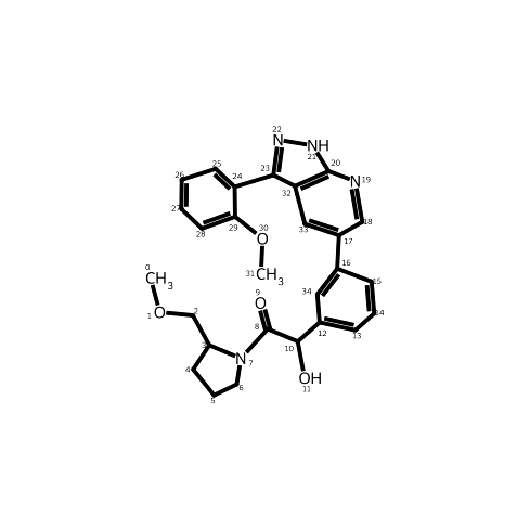 COCC1CCCN1C(=O)C(O)c1cccc(-c2cnc3[nH]nc(-c4ccccc4OC)c3c2)c1